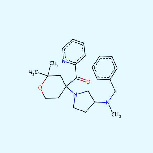 CN(Cc1ccccc1)C1CCN(C2(C(=O)c3ccccn3)CCOC(C)(C)C2)C1